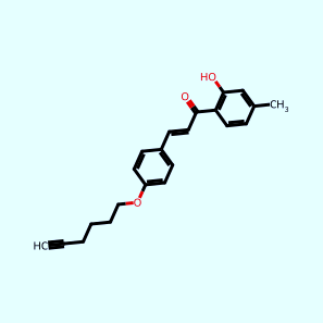 C#CCCCCOc1ccc(/C=C/C(=O)c2ccc(C)cc2O)cc1